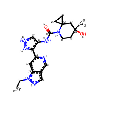 CC(C)Cn1ncc2cnc(-c3n[nH]cc3NC(=O)N3CCC(O)(C(F)(F)F)CC34CC4)cc21